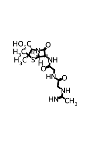 CC(=N)NCC(=O)NCC(=O)N[C@@H]1C(=O)N2[C@@H]1SC(C)(C)[C@@H]2C(=O)O